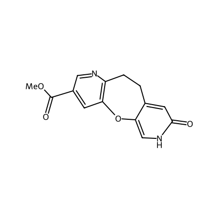 COC(=O)c1cnc2c(c1)Oc1c[nH]c(=O)cc1CC2